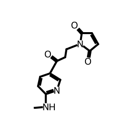 CNc1ccc(C(=O)CCN2C(=O)C=CC2=O)cn1